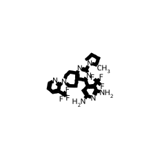 CC1CCCN1c1nc2c(c(-c3cc(N)nc(N)c3C(F)(F)F)n1)CCN(c1ncccc1C(F)(F)F)CC2